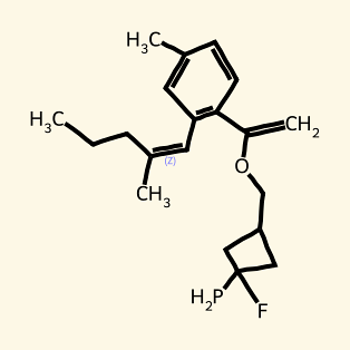 C=C(OCC1CC(F)(P)C1)c1ccc(C)cc1/C=C(/C)CCC